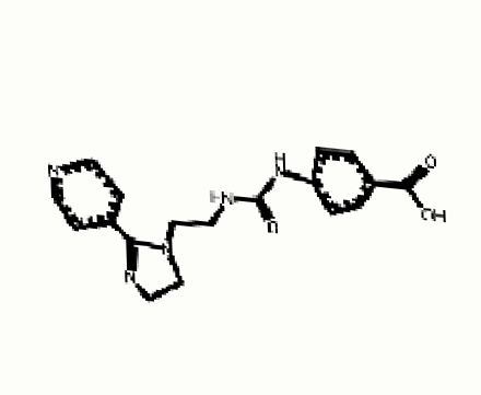 O=C(NCCN1CCN=C1c1ccncc1)Nc1ccc(C(=O)O)cc1